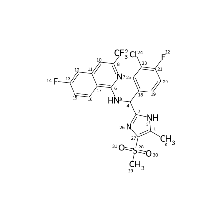 Cc1[nH]c(C(Nc2nc(C(F)(F)F)cc3cc(F)ccc23)c2ccc(F)c(Cl)c2)nc1S(C)(=O)=O